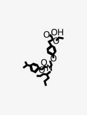 CCCC(CCC)CN(CCOc1ccc(CC(OCC)C(=O)O)cc1)C(=O)Oc1ccc(C(C)C)cc1